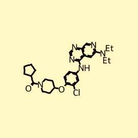 CCN(CC)c1cc2c(Nc3ccc(OC4CCN(C(=O)C5CCCC5)CC4)c(Cl)c3)ncnc2cn1